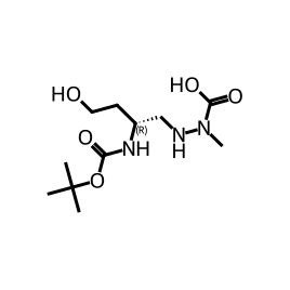 CN(NC[C@@H](CCO)NC(=O)OC(C)(C)C)C(=O)O